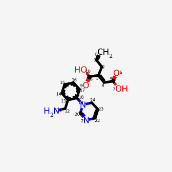 C=CC/C(=C\C(=O)O)C(=O)O.NCc1ccccc1N1C=NC=CC1